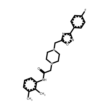 Cc1cccc(NC(=O)CN2CCN(Cc3nc(-c4ccc(F)cc4)no3)CC2)c1C